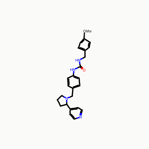 COc1ccc(CNC(=O)Nc2ccc(CN3CCCC3c3ccncc3)cc2)cc1